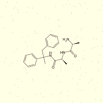 C[C@H](N)C(=O)N[C@@H](C)C(=O)NC(C)(Cc1ccccc1)c1ccccc1